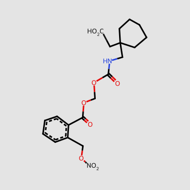 O=C(O)CC1(CNC(=O)OCOC(=O)c2ccccc2CO[N+](=O)[O-])CCCCC1